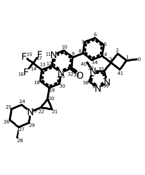 CC1CC(c2cccc(-c3cnc4c(C(F)(F)F)cc(C5CC5N5CCC[C@H](C)C5)cn4c3=O)c2)(c2nncn2C)C1